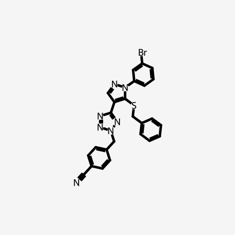 N#Cc1ccc(Cn2nnc(-c3cnn(-c4cccc(Br)c4)c3SCc3ccccc3)n2)cc1